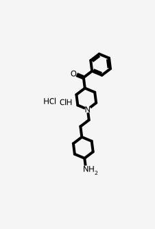 Cl.Cl.NC1CCC(CCN2CCC(C(=O)c3ccccc3)CC2)CC1